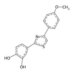 COc1ccc(-c2csc(-c3ccc(O)c(O)c3)n2)cc1